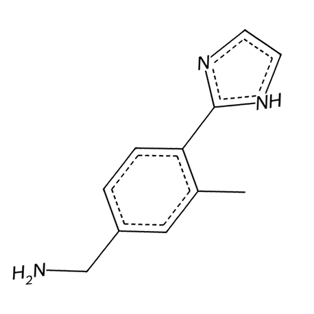 Cc1cc(CN)ccc1-c1ncc[nH]1